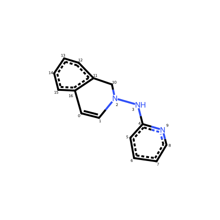 C1=CN(Nc2ccccn2)Cc2ccccc21